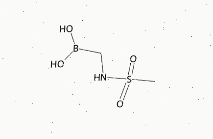 CS(=O)(=O)NCB(O)O